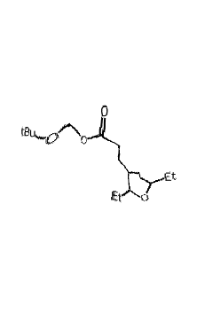 CCC1CC(CCC(=O)OCOC(C)(C)C)C(CC)O1